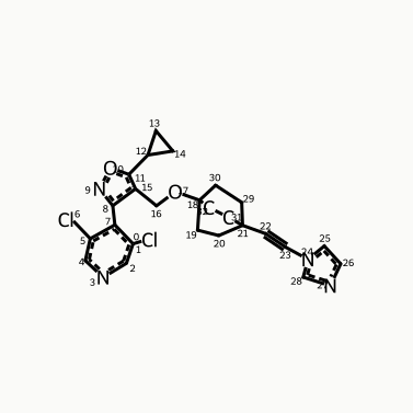 Clc1cncc(Cl)c1-c1noc(C2CC2)c1COC12CCC(C#Cn3ccnc3)(CC1)CC2